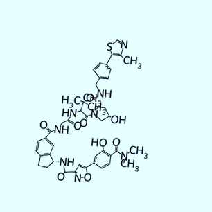 Cc1ncsc1-c1ccc(CNC(=O)[C@@H]2C[C@@H](O)CN2C(=O)C(NC(=O)CNC(=O)c2ccc3c(c2)[C@H](NC(=O)c2cc(-c4ccc(C(=O)N(C)C)c(O)c4)on2)CC3)C(C)(C)C)cc1